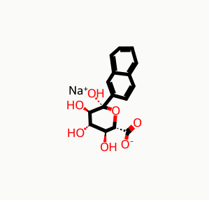 O=C([O-])[C@H]1O[C@](O)(c2ccc3ccccc3c2)[C@H](O)[C@@H](O)[C@@H]1O.[Na+]